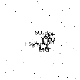 O=P(O)(O)C(Cc1cccc[n+]1CCS)S(=O)(=O)O.[Cl-]